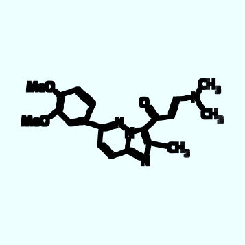 COc1ccc(-c2ccc3nc(C)c(C(=O)C=CN(C)C)n3n2)cc1OC